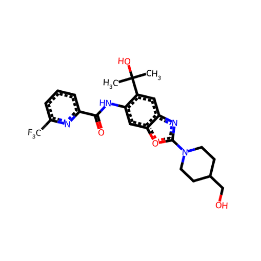 CC(C)(O)c1cc2nc(N3CCC(CO)CC3)oc2cc1NC(=O)c1cccc(C(F)(F)F)n1